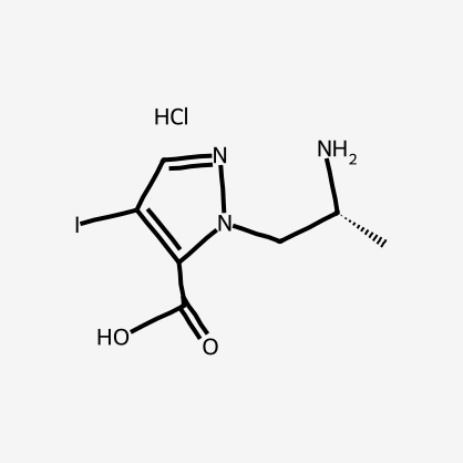 C[C@@H](N)Cn1ncc(I)c1C(=O)O.Cl